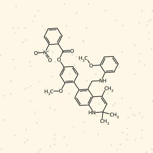 COc1ccccc1NCc1c(-c2ccc(OC(=O)c3ccccc3[N+](=O)[O-])cc2OC)ccc2c1C(C)=CC(C)(C)N2